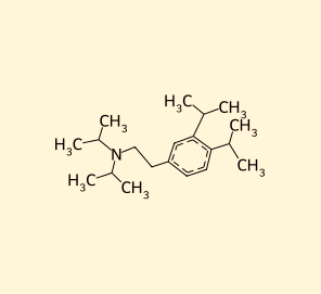 CC(C)c1ccc(CCN(C(C)C)C(C)C)cc1C(C)C